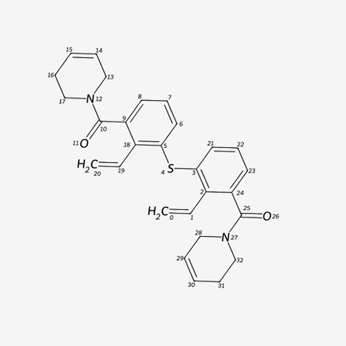 C=Cc1c(Sc2cccc(C(=O)N3CC=CCC3)c2C=C)cccc1C(=O)N1CC=CCC1